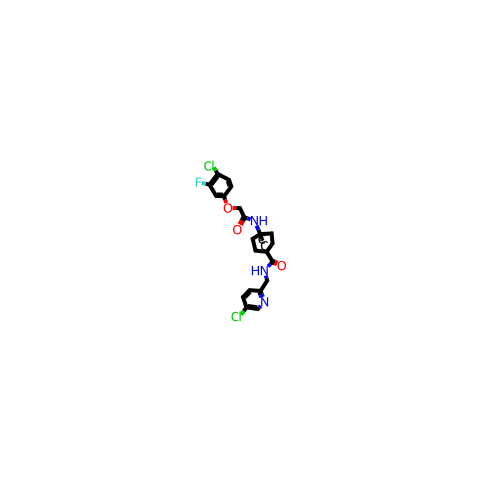 O=C(COc1ccc(Cl)c(F)c1)NC12CCC(C(=O)NCc3ccc(Cl)cn3)(CC1)CC2